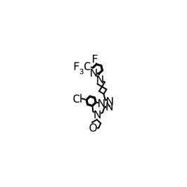 Fc1ccc(N2CC3(CC(c4nnc5n4-c4ccc(Cl)cc4CN([C@@H]4CCOC4)C5)C3)C2)nc1C(F)(F)F